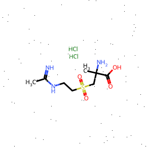 CC(=N)NCCS(=O)(=O)CC(C)(N)C(=O)O.Cl.Cl